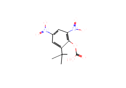 CC(C)(C)c1cc([N+](=O)[O-])cc([N+](=O)[O-])c1OC(=O)O